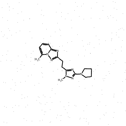 Cc1cccc2nc(CCc3nc(N4CCCC4)nn3C)nn12